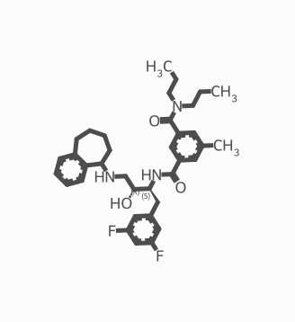 CCCN(CCC)C(=O)c1cc(C)cc(C(=O)N[C@@H](Cc2cc(F)cc(F)c2)[C@H](O)CNC2CCCCc3ccccc32)c1